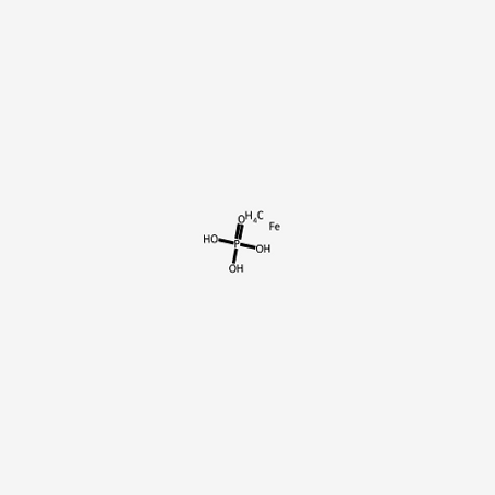 C.O=P(O)(O)O.[Fe]